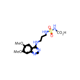 COc1cc2ncnc(NCCCNS(=O)(=O)NC(=O)O)c2cc1OC